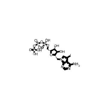 Nc1ncnc2c1c(I)cn2C[C@@H]1O[C@H](COP(=O)(O)OP(=O)(O)OP(=O)(O)O)[C@H](O)C1O